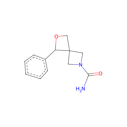 NC(=O)N1CC2(COC2c2ccccc2)C1